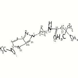 COc1ccc2nn(C34CC(NC(=O)OC(C)(C)C)(C3)C4)cc2n1